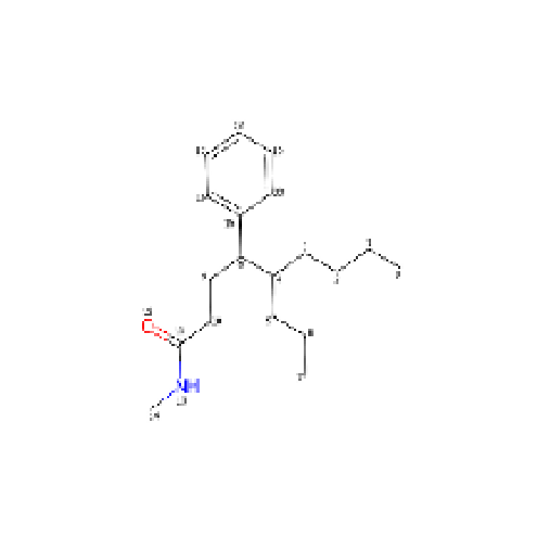 CCCCC(CCC)C(CCC(=O)NC)c1ccccc1